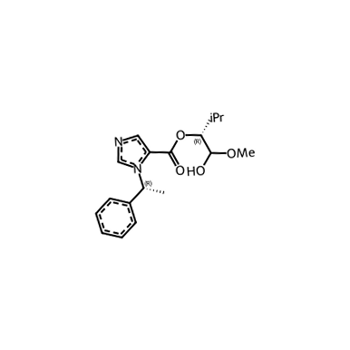 COC(O)[C@H](OC(=O)c1cncn1[C@H](C)c1ccccc1)C(C)C